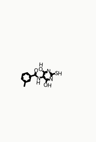 Cc1cccc(C(=O)Nc2c(O)nc(S)nc2O)c1